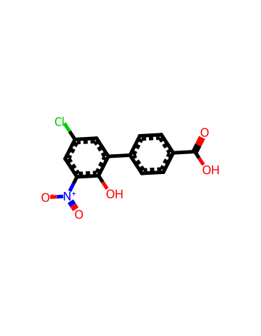 O=C(O)c1ccc(-c2cc(Cl)cc([N+](=O)[O-])c2O)cc1